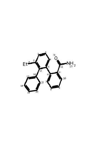 CCc1cccc(-c2ccccc2C(N)=O)c1-c1ccccc1